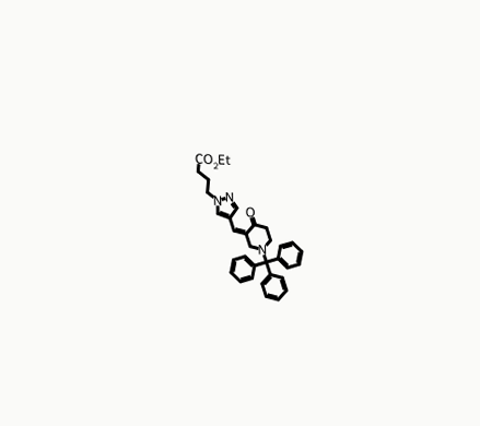 CCOC(=O)CCCn1cc(C=C2CN(C(c3ccccc3)(c3ccccc3)c3ccccc3)CCC2=O)cn1